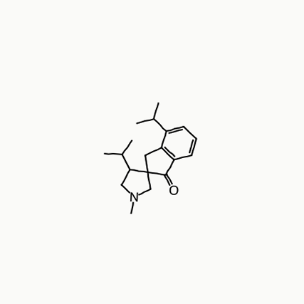 CC(C)c1cccc2c1CC1(CN(C)CC1C(C)C)C2=O